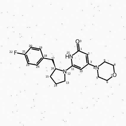 O=c1cc(N2CCOCC2)cc(N2CCC[C@H]2Cc2ccc(F)cc2)[nH]1